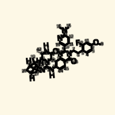 COc1ccc(CCn2c(-c3ccc(N(C)C)nc3)nc3cc(N/C(=N/[C@H]4C[C@@H]5C[C@H]([C@@H]4C)C5(C)C)N4CC(=O)N[C@@H](C)C4)ccc3c2=O)c(F)c1